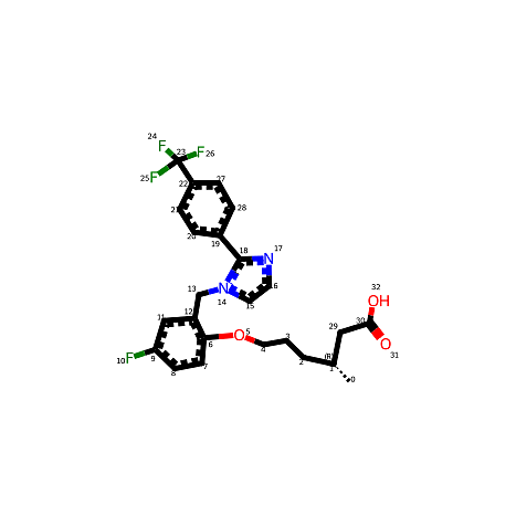 C[C@H](CCCOc1ccc(F)cc1Cn1ccnc1-c1ccc(C(F)(F)F)cc1)CC(=O)O